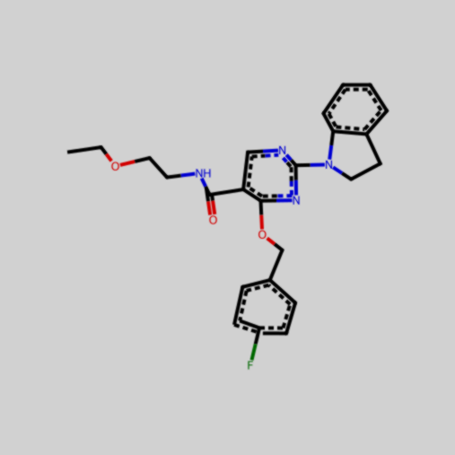 CCOCCNC(=O)c1cnc(N2CCc3ccccc32)nc1OCc1ccc(F)cc1